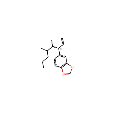 C=C[C@@H](c1ccc2c(c1)OCO2)C(C)C(C)CCC